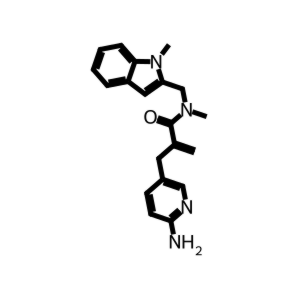 C=C(Cc1ccc(N)nc1)C(=O)N(C)Cc1cc2ccccc2n1C